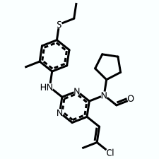 CCSc1ccc(Nc2ncc(/C=C(\C)Cl)c(N(C=O)C3CCCC3)n2)c(C)c1